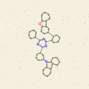 c1ccc(-c2nc(-c3cccc(-n4c5ccccc5c5ccccc54)c3)nc(-c3ccccc3-c3ccc4oc5ccccc5c4c3)n2)cc1